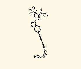 CC(CCn1ccc2cc(C#CC#C[C@@H]3C[C@H]3CO)ccc21)(C(=O)NO)S(C)(=O)=O